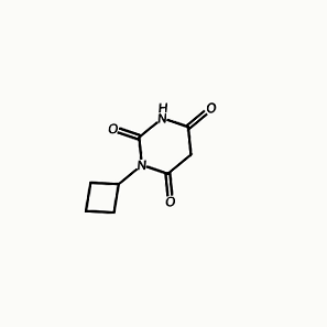 O=C1CC(=O)N(C2CCC2)C(=O)N1